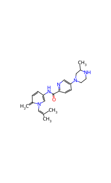 C=C1C=CC(NC(=O)c2ccc(N3CCNC(C)C3)cn2)=CN1C=C(C)C